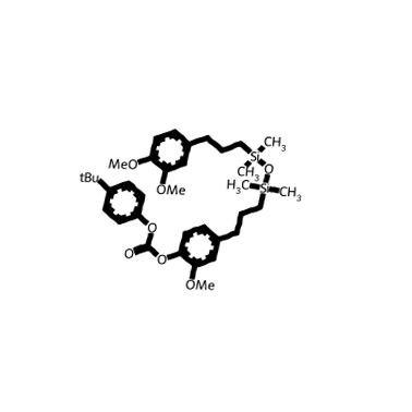 COc1ccc(CCC[Si](C)(C)O[Si](C)(C)CCCc2ccc(OC(=O)Oc3ccc(C(C)(C)C)cc3)c(OC)c2)cc1OC